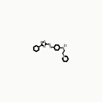 CCN(CC[n+]1ccccc1)c1ccc(N=Nc2nc(-c3ccccc3)ns2)cc1